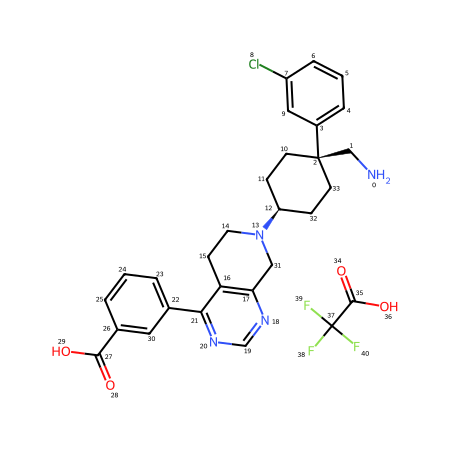 NC[C@]1(c2cccc(Cl)c2)CC[C@H](N2CCc3c(ncnc3-c3cccc(C(=O)O)c3)C2)CC1.O=C(O)C(F)(F)F